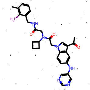 CC(=O)c1cn(CC(=O)N(CC(=O)NCc2cccc(C)c2P)C2CCC2)c2ccc(Nc3cncnc3)cc12